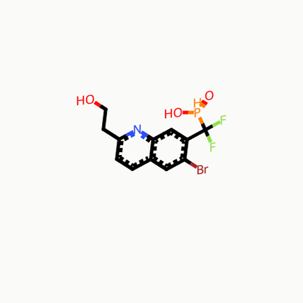 O=[PH](O)C(F)(F)c1cc2nc(CCO)ccc2cc1Br